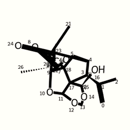 C=C(C)[C@@H]1CC2OC(=O)C34OC5OCO[C@H](O)C51C23CC(C)OC(=O)[C@@H]4C